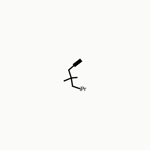 C#CCC(C)(C)CC([CH2])C